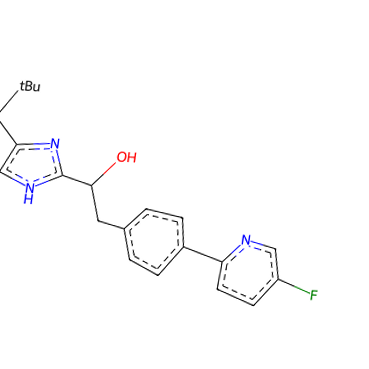 CC(C)(C)Cc1c[nH]c(C(O)Cc2ccc(-c3ccc(F)cn3)cc2)n1